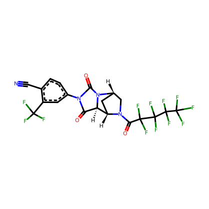 N#Cc1ccc(N2C(=O)[C@@H]3[C@@H]4C[C@@H](CN4C(=O)C(F)(F)C(F)(F)C(F)(F)C(F)(F)F)N3C2=O)cc1C(F)(F)F